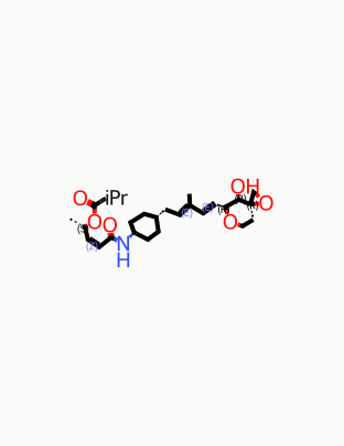 CC(/C=C/[C@H]1OCC[C@@]2(CO2)[C@@H]1O)=C\C[C@H]1CC[C@H](NC(=O)/C=C\[C@H](C)OC(=O)C(C)C)CC1